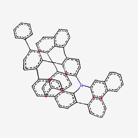 c1ccc(-c2ccc3c(c2)C2(c4cc(N(c5ccc6ccccc6c5)c5c(-c6ccccc6)ccc6ccccc56)ccc4-c4cccc5cccc2c45)c2cccc4cccc-3c24)cc1